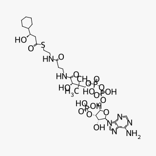 CC(C)(COP(=O)(O)OP(=O)(O)OC[C@H]1O[C@@H](n2cnc3c(N)ncnc32)[C@H](O)[C@@H]1OP(=O)(O)O)[C@@H](O)C(=O)NCCC(=O)NCCSC(=O)C[C@@H](O)C1CCCCC1